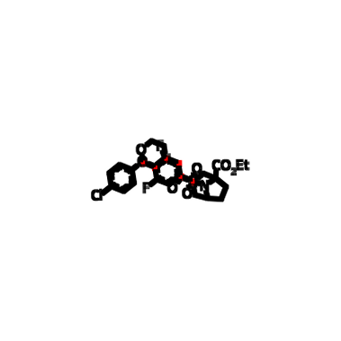 CCOC(=O)C12CCC(CN(C(=O)CN3CCOCC3)C1)N2S(=O)(=O)c1cc(F)c(Oc2ccc(Cl)cc2)c(F)c1